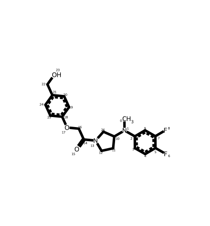 CN(c1ccc(F)c(F)c1)C1CCN(C(=O)COc2ccc(CO)cc2)C1